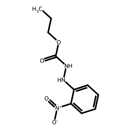 CCCOC(=O)NNc1ccccc1[N+](=O)[O-]